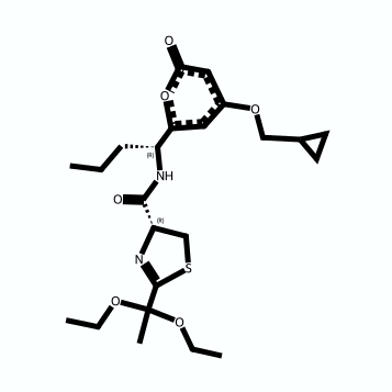 CCC[C@@H](NC(=O)[C@@H]1CSC(C(C)(OCC)OCC)=N1)c1cc(OCC2CC2)cc(=O)o1